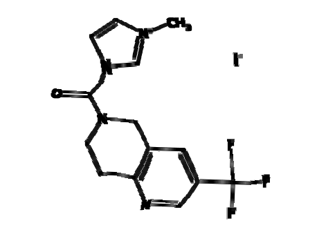 C[n+]1ccn(C(=O)N2CCc3ncc(C(F)(F)F)cc3C2)c1.[I-]